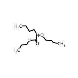 CCCCON(CCCC)C(=O)OCCC